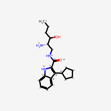 CCCC(O)[C@@H](N)CNC(=O)c1[nH]c2ccccc2c1C1CCCC1